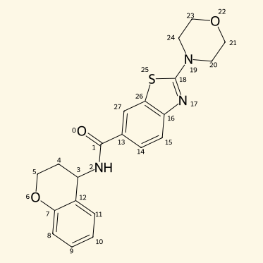 O=C(NC1CCOc2ccccc21)c1ccc2nc(N3CCOCC3)sc2c1